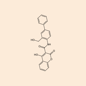 O=C(Nc1ccc(-c2ccccc2)cc1CO)c1c(O)c2ccccc2oc1=O